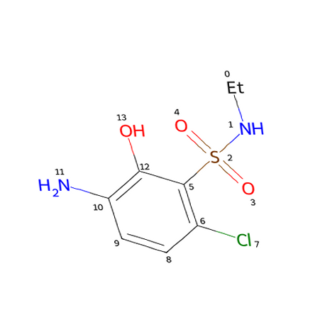 CCNS(=O)(=O)c1c(Cl)ccc(N)c1O